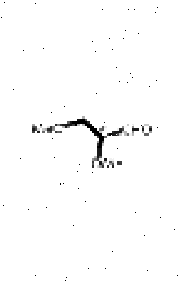 COC[C@@H](C=O)OC